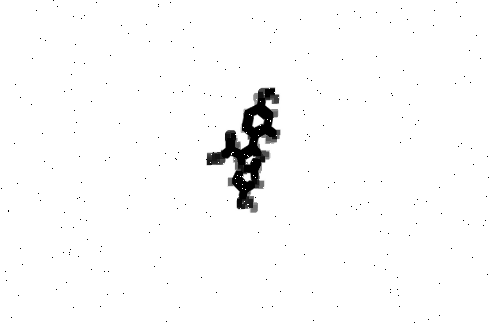 Cc1ccc(-c2nc3sc(C)cn3c2C(=O)O)c(F)c1